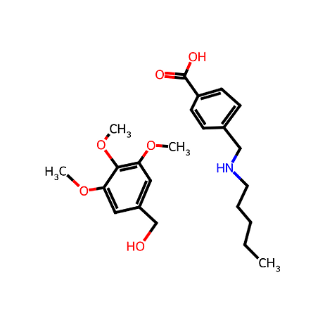 CCCCCNCc1ccc(C(=O)O)cc1.COc1cc(CO)cc(OC)c1OC